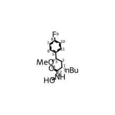 CCCC[C@@H](C[C@H](OC)c1ccc(F)cc1)C(=O)NO